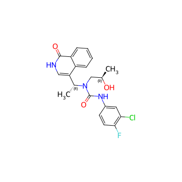 C[C@H](c1c[nH]c(=O)c2ccccc12)N(C[C@@H](C)O)C(=O)Nc1ccc(F)c(Cl)c1